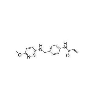 C=CC(=O)Nc1ccc(CNc2ccc(OC)nn2)cc1